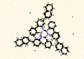 c1ccc2c(c1)B1N(B3c4ccccc4-c4ccc(-c5ccc6ccccc6c5)cc4N3B3c4ccccc4-c4ccc(-c5ccc6ccccc6c5)cc4N13)c1cc(-c3ccc4ccccc4c3)ccc1-2